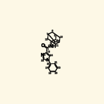 O=C(NC12CC3CC(CC(C3)C1)C2)c1cn(-c2ccccc2)cn1